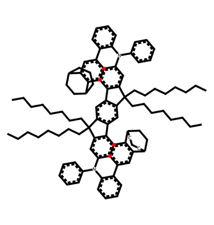 CCCCCCCCC1(CCCCCCCC)c2cc(N(c3ccccc3)c3ccccc3-c3ccc4c(c3)C3CCCC4CC3)ccc2-c2cc3c(cc21)-c1ccc(N(c2ccccc2)c2ccccc2-c2ccc4c(c2)C2CCCC4CC2)cc1C3(CCCCCCCC)CCCCCCCC